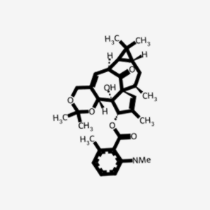 CNc1cccc(C)c1C(=O)O[C@H]1C(C)=C[C@]23C(=O)[C@@H](C=C4COC(C)(C)O[C@H]4[C@]12O)C1[C@@H](C[C@H]3C)C1(C)C